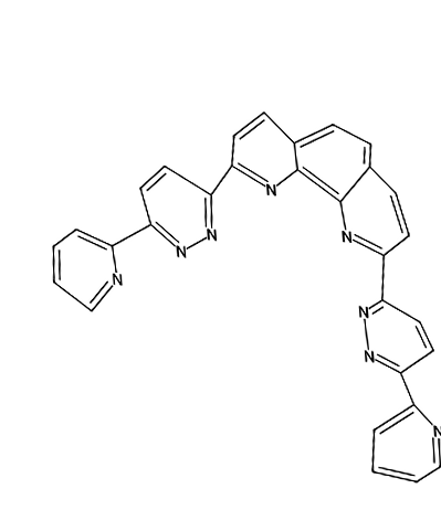 c1ccc(-c2ccc(-c3ccc4ccc5ccc(-c6ccc(-c7ccccn7)nn6)nc5c4n3)nn2)nc1